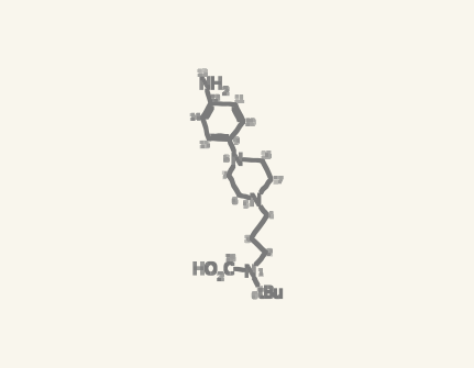 CC(C)(C)N(CCCN1CCN(c2ccc(N)cc2)CC1)C(=O)O